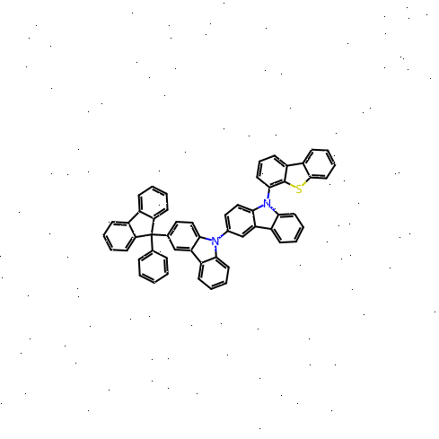 c1ccc(C2(c3ccc4c(c3)c3ccccc3n4-c3ccc4c(c3)c3ccccc3n4-c3cccc4c3sc3ccccc34)c3ccccc3-c3ccccc32)cc1